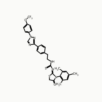 Cc1cc(C)c(N2C(=O)CS/C2=N\C(=S)NCCc2ccc(-c3ncn(-c4ccc(OC(F)(F)F)cc4)n3)cc2)c(C)c1